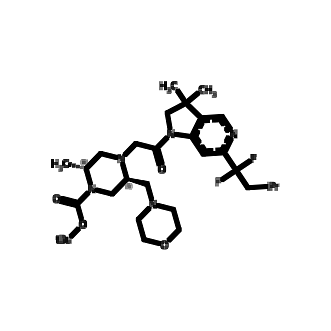 CC(C)CC(F)(F)c1cc2c(cn1)C(C)(C)CN2C(=O)CN1C[C@@H](C)N(C(=O)OC(C)(C)C)C[C@@H]1CN1CCOCC1